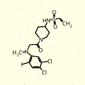 C=CS(=O)(=O)NC1CCN(C(=O)CN(C)c2cc(Cl)c(Cl)cc2I)CC1